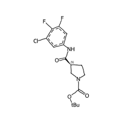 CC(C)(C)OC(=O)N1CC[C@H](C(=O)Nc2cc(F)c(F)c(Cl)c2)C1